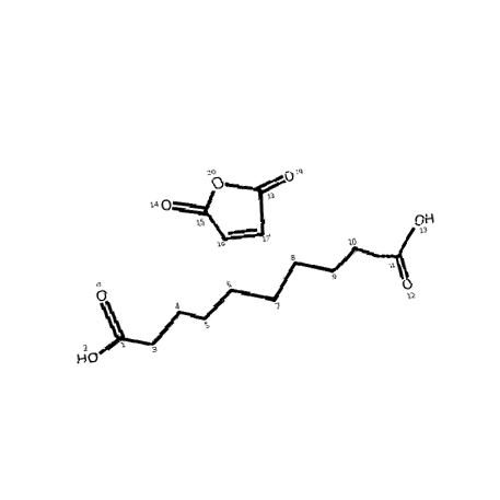 O=C(O)CCCCCCCCC(=O)O.O=C1C=CC(=O)O1